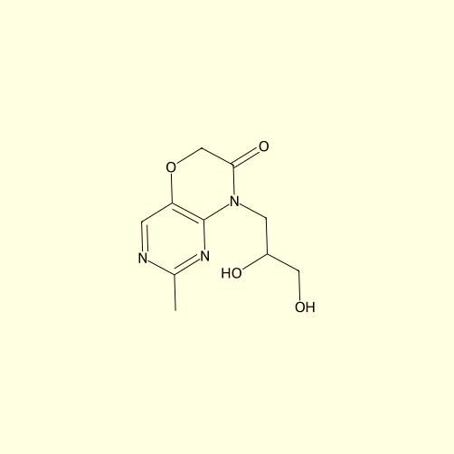 Cc1ncc2c(n1)N(CC(O)CO)C(=O)CO2